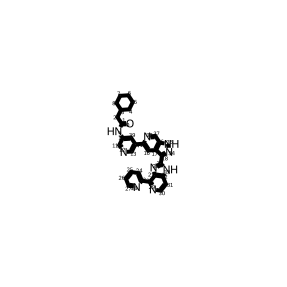 O=C(CC1CCCCC1)Nc1cncc(-c2cc3c(-c4nc5c(-c6ccccn6)nccc5[nH]4)n[nH]c3cn2)c1